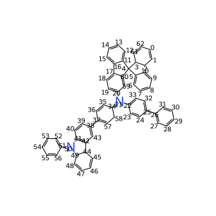 C1=CCC(C2(c3ccccc3)c3ccccc3-c3ccc(N(c4ccc(-c5ccccc5)cc4)C4C=CC(c5ccc6c(c5)C5C=CC=CC5N6c5ccccc5)=CC4)cc32)C=C1